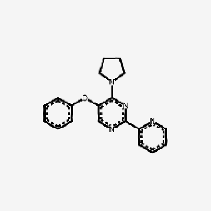 c1ccc(Oc2cnc(-c3ccccn3)nc2N2CCCC2)cc1